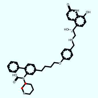 O=C(O)N(c1cc(CCCCOc2ccc(CNC[C@H](O)c3ccc(O)c4[nH]c(=O)ccc34)cc2)ccc1-c1ccccc1)C1CN2CCC1CC2